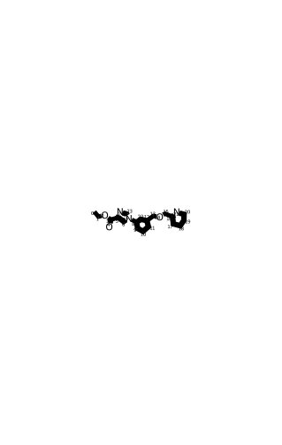 CCOC(=O)c1cn(-c2cccc(COCc3ccccn3)c2)cn1